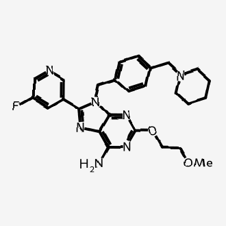 COCCOc1nc(N)c2nc(-c3cncc(F)c3)n(Cc3ccc(CN4CCCCC4)cc3)c2n1